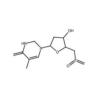 C=C1NCN(C2CC(O)C(CP(=C)=O)O2)C=C1C